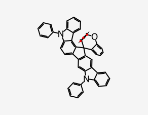 c1ccc(-n2c3ccccc3c3cc4c(cc32)-c2ccc3c(c2C42c4ccccc4Oc4ccccc42)c2ccccc2n3-c2ccccc2)cc1